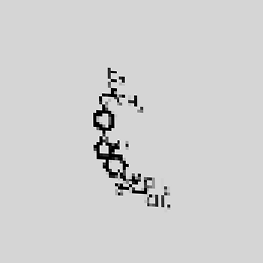 CC(C)CS(=O)(=O)N1CCC2(CCN(c3ccc(OC(C)C)cc3)C2=O)CC1